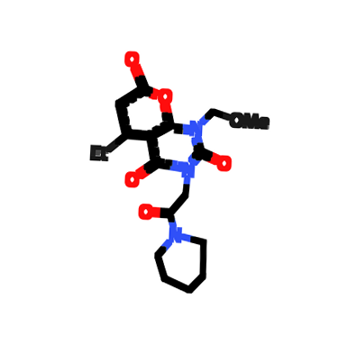 CCc1cc(=O)oc2c1c(=O)n(CC(=O)N1CCCCC1)c(=O)n2COC